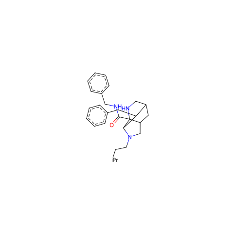 CC(C)CCN1CC2CC3CNC2(C(=O)NCc2ccccc2)C1C3Cc1ccccc1